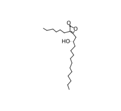 CCCCCCCCCCC[C@H](O)CC1=C(CCCCCC)C(=O)O1